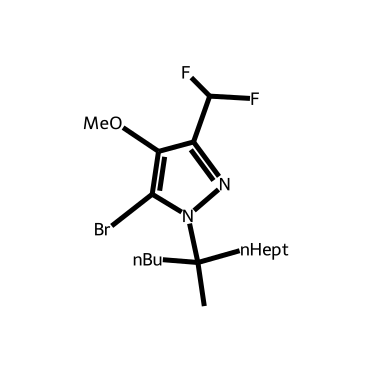 CCCCCCCC(C)(CCCC)n1nc(C(F)F)c(OC)c1Br